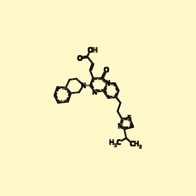 CC(C)c1csc(CCc2ccn3c(=O)c(C=CC(=O)O)c(N4CCc5ccccc5C4)nc3c2)n1